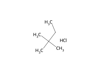 CCC(C)(C)C.Cl